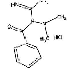 CN(C)N(C(=N)N)C(=O)c1ccccc1.Cl